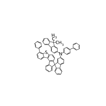 CC1(C)c2ccccc2-c2ccc(N(c3ccc(-c4ccccc4)cc3)c3ccc4c(c3)C3(c5ccccc5-4)c4ccccc4-c4c3ccc3sc5c(-c6ccccc6)cccc5c43)cc21